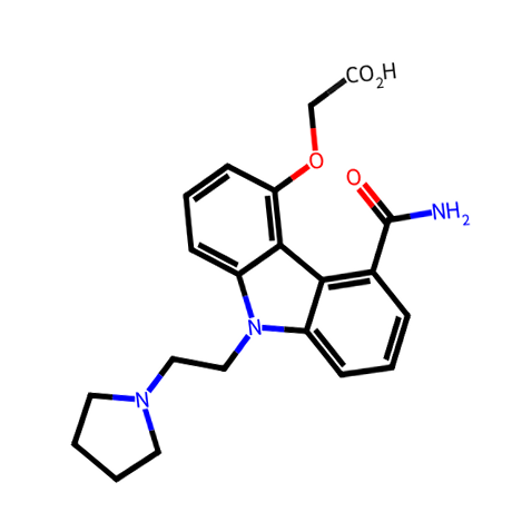 NC(=O)c1cccc2c1c1c(OCC(=O)O)cccc1n2CCN1CCCC1